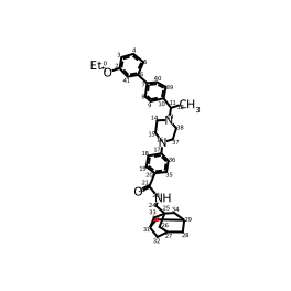 CCOc1cccc(-c2ccc(C(C)N3CCN(c4ccc(C(=O)NCC56CC7CC(CC(C7)C5)C6)cc4)CC3)cc2)c1